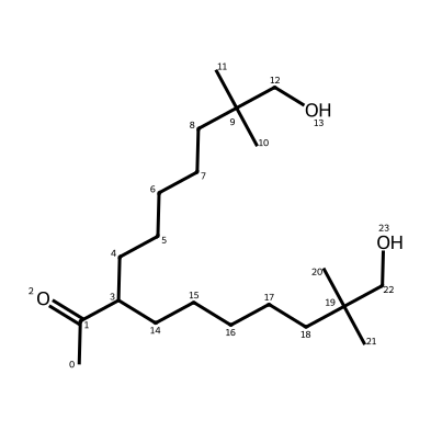 CC(=O)C(CCCCCC(C)(C)CO)CCCCCC(C)(C)CO